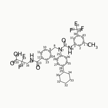 Cc1cc(NC(=O)N(Cc2ccc(C(=O)NCC(F)(F)C(=O)O)cc2)c2ccc(C3CCCCC3)cc2)cc(C(F)(F)F)c1